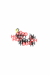 [2H]C([2H])([2H])Oc1cc([C@@H]2c3cc4c(cc3[C@@H](O[C@@H]3O[C@@H]5CO[C@@H](c6cccs6)O[C@H]5[C@H](O)[C@H]3O)[C@H]3C([2H])([2H])OC(=O)[C@]23[2H])OCO4)cc(OC([2H])([2H])[2H])c1O